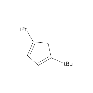 CC(C)C1=CC=C(C(C)(C)C)C1